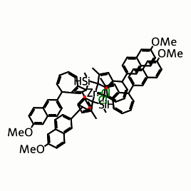 COc1ccc2cc(C3C=CC=CC4=C3C=C(C)[C]43[SiH](C)[C]4(C(C)=CC5=C4C=CC=CC5c4ccc5cc(OC)ccc5c4)[Zr]34([Cl])([Cl])[C]3(C(C)=CC5=C3C=CC=CC5c3ccc5cc(OC)ccc5c3)[SiH](C)[C]43C(C)=CC4=C3C=CC=CC4c3ccc4cc(OC)ccc4c3)ccc2c1